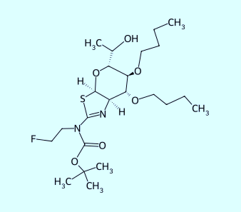 CCCCO[C@@H]1[C@H]2N=C(N(CCF)C(=O)OC(C)(C)C)S[C@H]2O[C@H](C(C)O)[C@H]1OCCCC